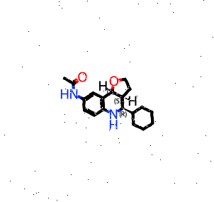 CC(=O)Nc1ccc2c(c1)[C@H]1OCC[C@H]1[C@@H](C1CCCCC1)N2